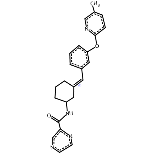 Cc1ccc(Oc2cccc(/C=C3\CCCC(NC(=O)c4cnccn4)C3)c2)nc1